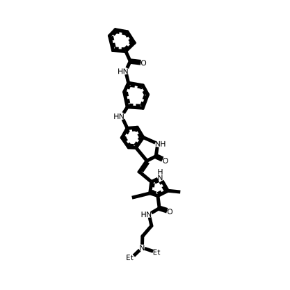 CCN(CC)CCNC(=O)c1c(C)[nH]c(C=C2C(=O)Nc3cc(Nc4cccc(NC(=O)c5ccccc5)c4)ccc32)c1C